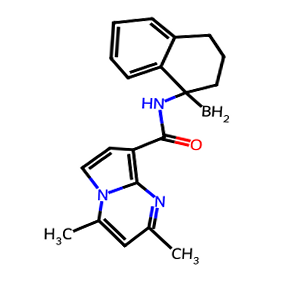 BC1(NC(=O)c2ccn3c(C)cc(C)nc23)CCCc2ccccc21